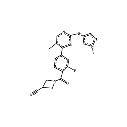 Cc1cnc(Nc2cnn(C)c2)nc1-c1ccc(C(=O)N2CC(C#N)C2)c(F)c1